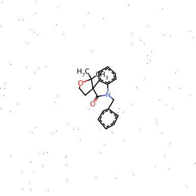 CC1(C)OCCC12C(=O)N(Cc1ccccc1)c1ccccc12